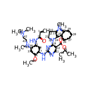 C=CC(=O)Nc1cc(Nc2ncc(C(=O)OC(C)C)c(N3CCc4c3c3ccccc3n4C)n2)c(OC)cc1N(C)CCN(C)C